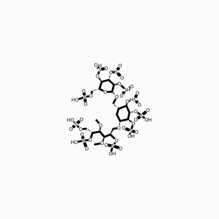 CO[C@@H]([C@H](OC)[C@@H](COS(=O)(=O)O)OS(=O)(=O)O)[C@@H](CO[C@@H]1C[C@H](CO[C@@H]2O[C@H](COS(=O)(=O)O)[C@@H](O[SH](=O)=O)[C@H](O[SH](=O)=O)[C@H]2O[SH](=O)=O)[C@@H](O[SH](=O)=O)[C@H](OS(=O)(=O)O)[C@H]1OS(=O)(=O)O)OS(=O)(=O)O